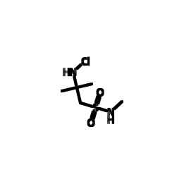 CNS(=O)(=O)CC(C)(C)NCl